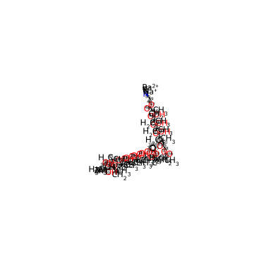 C=C(C)C(=O)O.C=C(C)C(=O)O.C=C(C)C(=O)O.C=C(C)C(=O)O.C=C(C)C(=O)O.C=C(C)C(=O)O.C=C(C)C(=O)O.C=C(C)C(=O)OCCC#N.C=C(C)C(=O)OCc1ccco1.C=C(C)C(=O)Oc1ccccc1.C=C(C)COC(=O)C(=C)C.CC(C)(CO)CO.[Ba+2].[K+].[Mg+2].[Na+].[Zn+2]